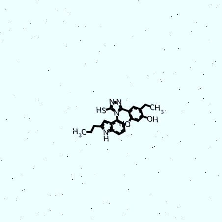 CCCc1cc2c(-n3c(S)nnc3-c3cc(CC)c(O)cc3O)cccc2[nH]1